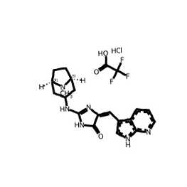 CN1[C@@H]2CC[C@H]1CC(NC1=NC(=Cc3c[nH]c4ncccc34)C(=O)N1)C2.Cl.O=C(O)C(F)(F)F